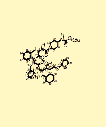 CC(C)(C)OC(=O)NC1CCN(C(=O)N[C@@H](Cc2ccccc2)C(=O)N[C@@H](Cc2c[nH]cn2)C(=O)N[C@@H](CC2CCCCC2)[C@@H](O)CCSC2=NCCS2)CC1